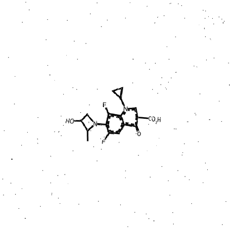 CC1C(O)CN1c1c(F)cc2c(=O)c(C(=O)O)cn(C3CC3)c2c1F